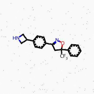 FC(F)(F)C1(c2ccccc2)CC(c2ccc(C3CNC3)cc2)=NO1